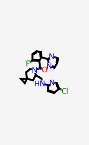 O=C(c1c(F)cccc1-c1ncccn1)N1CCC2(CC2)CC1CNc1ccc(Cl)cn1